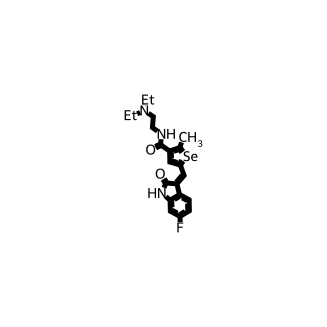 CCN(CC)CCNC(=O)c1cc(C=C2C(=O)Nc3cc(F)ccc32)[se]c1C